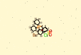 O=S(=O)(Cl)c1ccc(C[P+](C2CCCCC2)(C2CCCCC2)C2CCCCC2)cc1.[Br-]